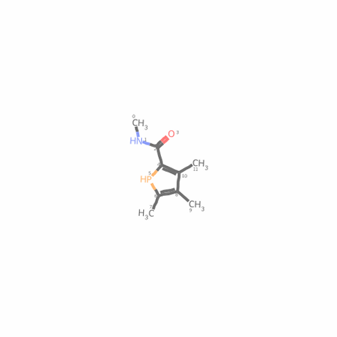 CNC(=O)c1[pH]c(C)c(C)c1C